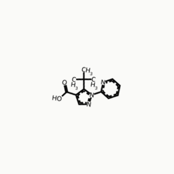 CC(C)(C)c1c(C(=O)O)cnn1-c1ccccn1